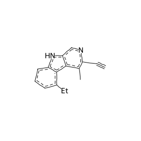 C#Cc1ncc2[nH]c3cccc(CC)c3c2c1C